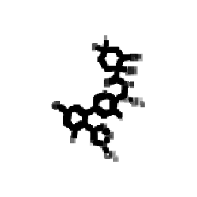 C[C@@H](NC(=O)C1(O)CCC(F)(F)CC1O)c1ncc(-c2cc(Cl)cc(F)c2-c2nnn(C)n2)cc1F